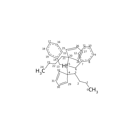 CCCC[C]1([Hf]([CH2]c2ccccc2)([CH2]c2ccccc2)[C]2(CCCC)C=CC=C2)C=CC=C1